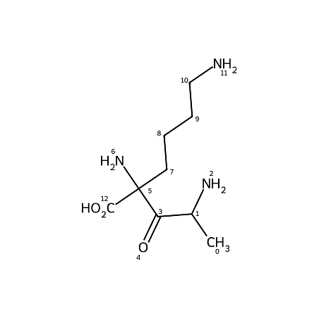 CC(N)C(=O)C(N)(CCCCN)C(=O)O